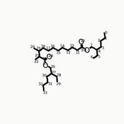 CCCCC(CC)COC(=O)CCCCCCCCC(C)C(C)C(=O)OCC(CC)CCCC